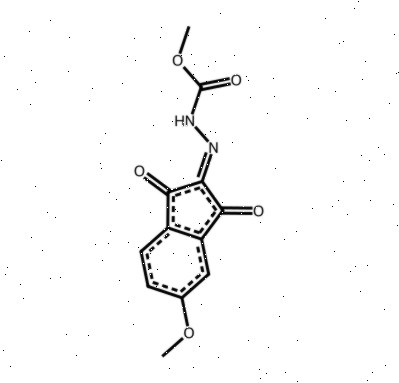 COC(=O)N/N=c1\c(=O)c2ccc(OC)cc2c1=O